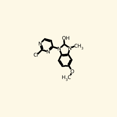 COc1ccc2c(c1)N(C)C(O)N2c1ccnc(Cl)n1